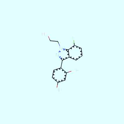 OCCn1nc(-c2ccc(O)cc2O)c2cccc(F)c21